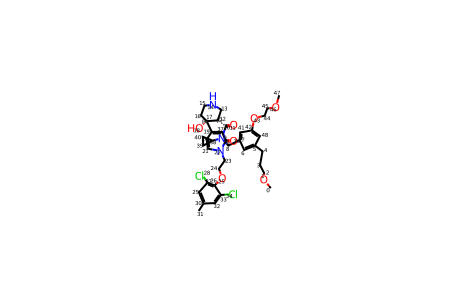 COCCCc1cc(CN(C(=O)[C@H]2CNCC[C@]2(O)c2ccn(CCOc3c(Cl)cc(C)cc3Cl)c(=O)c2)C2CC2)cc(OCCOC)c1